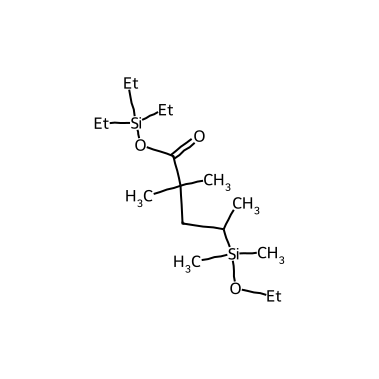 CCO[Si](C)(C)C(C)CC(C)(C)C(=O)O[Si](CC)(CC)CC